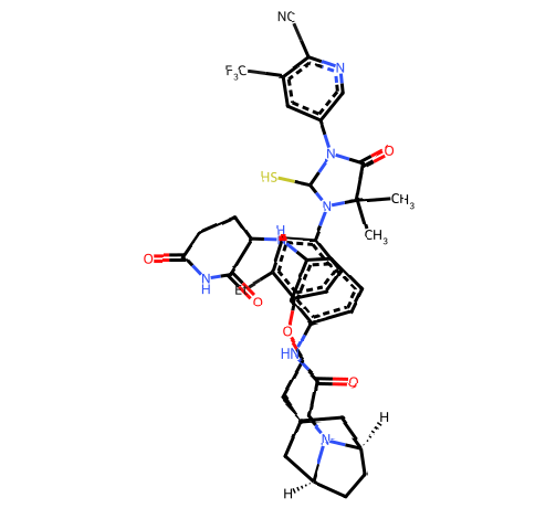 CCc1cc(N2C(S)N(c3cnc(C#N)c(C(F)(F)F)c3)C(=O)C2(C)C)ccc1OCC[C@H]1C[C@H]2CC[C@@H](C1)N2CC(=O)Nc1cccc(NC2CCC(=O)NC2=O)c1